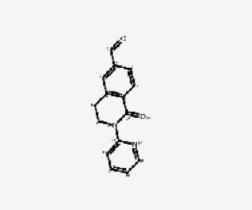 O=Cc1ccc2c(c1)CCN(c1ccccn1)C2=O